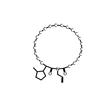 C=CCN1C(=O)CCCCCCCCCCCCCCCCCCCCCC(C2CCCC2C)C1=O